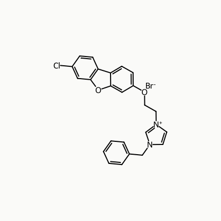 Clc1ccc2c(c1)oc1cc(OCC[n+]3ccn(Cc4ccccc4)c3)ccc12.[Br-]